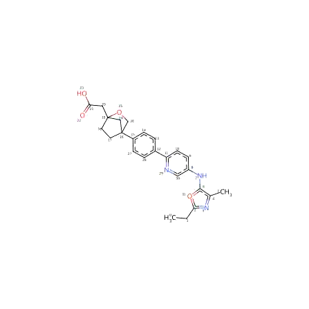 CCc1nc(C)c(Nc2ccc(-c3ccc(C45CCC(CC(=O)O)(C4)OC5)cc3)nc2)o1